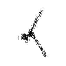 CCCCCCCCCCCCCCCCCCSc1nc(SCCCCCCCCCCCCCCCCCC)nc(-c2cc(C(C)(C)C)c(O)c(C(C)(C)C)c2)n1